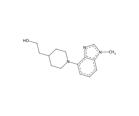 Cn1cnc2c(N3CCC(CCO)CC3)cccc21